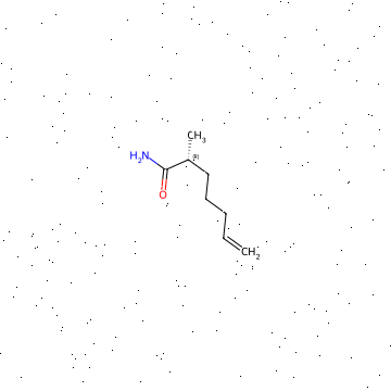 C=CCCC[C@@H](C)C(N)=O